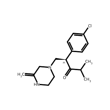 C=C1CN(C[C@H](C(=O)C(C)C)c2ccc(Cl)cc2)CCN1